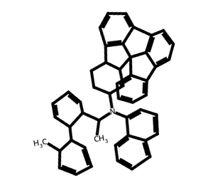 CC1C=CC=CC1C1C=CC=CC1C(C)N(c1cccc2ccccc12)C1CCC2c3cccc4c3C3(c5ccccc5-c5cccc-4c53)C2C1